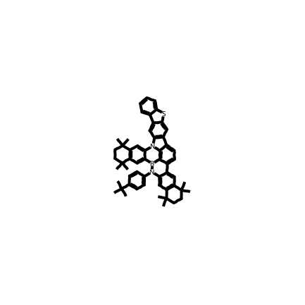 CC(C)(C)c1ccc(N2B3c4cc5c(cc4-n4c6cc7c(cc6c6ccc(c3c64)-c3cc4c(cc32)C(C)(C)CCC4(C)C)sc2ccccc27)C(C)(C)CCC5(C)C)cc1